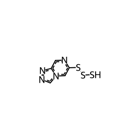 SSSc1cn2cnnc2cn1